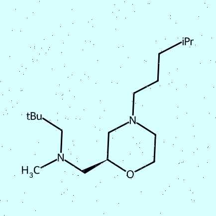 CC(C)CCCN1CCO[C@@H](CN(C)CC(C)(C)C)C1